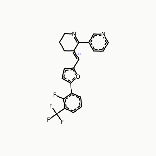 Fc1c(-c2ccc(/C=C3\CCCN=C3c3cccnc3)o2)cccc1C(F)(F)F